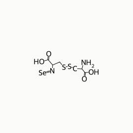 NC(CSSCC(N=[Se])C(=O)O)C(=O)O